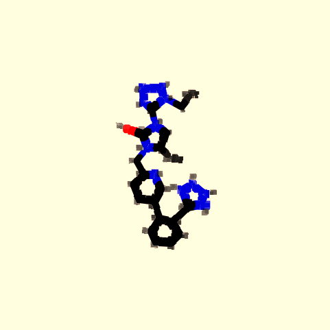 CCCCc1cn(-c2nnnn2CC(C)C)c(=O)n1Cc1ccc(-c2ccccc2-c2nnn[nH]2)cn1